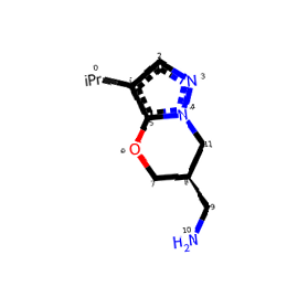 CC(C)c1cnn2c1OC[C@H](CN)C2